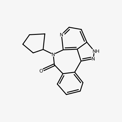 O=C1c2ccccc2-c2n[nH]c3ccnc(c23)N1C1CCCC1